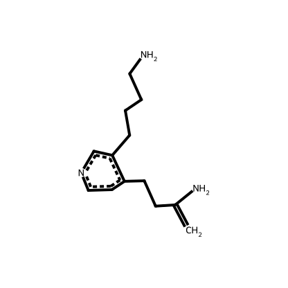 C=C(N)CCc1ccncc1CCCCN